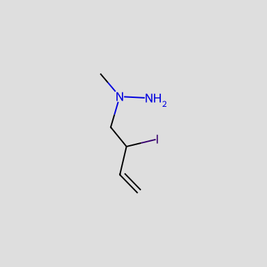 C=CC(I)CN(C)N